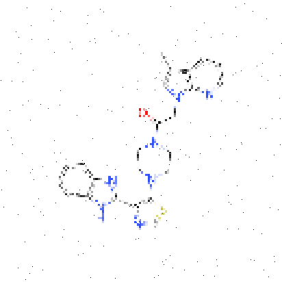 Cc1cn(CC(=O)N2CCN(c3scnc3-c3nc4ccccc4[nH]3)CC2)c2ncccc12